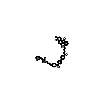 O=C(/C=C/c1cccnc1)NCCCCC1CCN(C(=O)c2ccc(C3CCN(C(=O)CCCCNc4cccc5c4C(=O)N(C4CCC(=O)NC4=O)C5=O)CC3)cc2)CC1